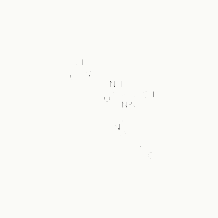 Cc1cc(C(=O)NC2CCN(C(C)C)CC2)n(Cc2cc(-c3ccc(Cl)s3)on2)n1